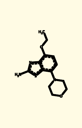 CCOc1ccc(N2CCOCC2)c2sc(N)nc12